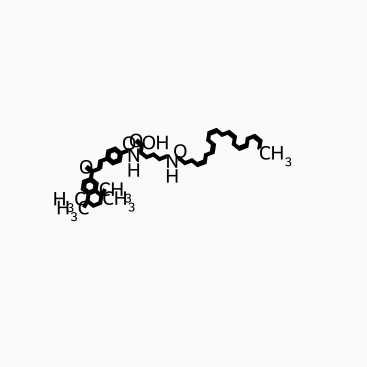 CC/C=C\C/C=C\C/C=C\C/C=C\C/C=C\C/C=C\CCC(=O)NCCCCC(NC(=O)c1ccc(/C=C/C(=O)c2ccc3c(c2)C(C)(C)CCC3(C)C)cc1)C(=O)O